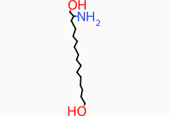 NC(CO)CCCCCCCCCCCCCCO